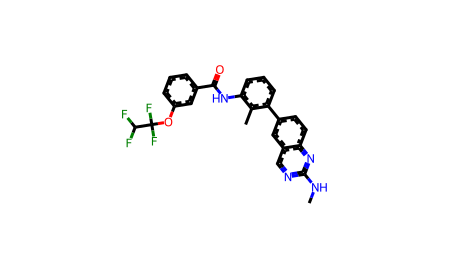 CNc1ncc2cc(-c3cccc(NC(=O)c4cccc(OC(F)(F)C(F)F)c4)c3C)ccc2n1